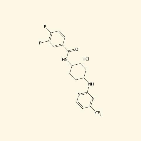 Cl.O=C(NC1CCC(Nc2nccc(C(F)(F)F)n2)CC1)c1ccc(F)c(F)c1